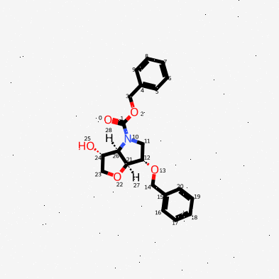 O=C(OCc1ccccc1)N1C[C@H](OCc2ccccc2)[C@H]2OC[C@H](O)[C@H]21